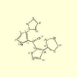 O=C(c1sccc1C1CCCC1)c1sccc1C1CCCC1